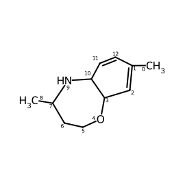 CC1=CC2OCCC(C)NC2C=C1